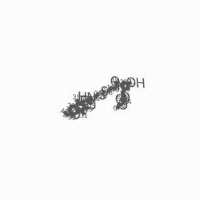 CCOP(C)(=O)OCC1CC(O)CN1C(=O)CCCSSCCNC(=O)Oc1c(C)c(C)c2c(c1C)CC[C@@](C)(CC)O2